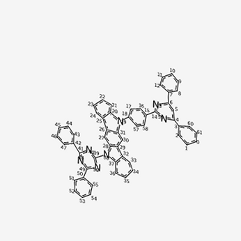 c1ccc(-c2cc(-c3ccccc3)nc(-c3ccc(-n4c5ccccc5c5cc6c(cc54)c4ccccc4n6-c4nc(-c5ccccc5)nc(-c5ccccc5)n4)cc3)n2)cc1